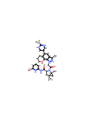 CC(=O)c1nn(CC(=O)N2[C@H](C(=O)Nc3cccc(Br)n3)C[C@@]3(C)C[C@@H]23)c2c3c(c(-c4cnc(C)nc4)cc12)CCCO3